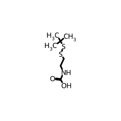 CC(C)(C)SSCCNC(=O)O